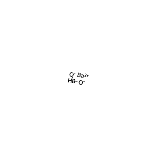 [Ba+2].[O-]B[O-]